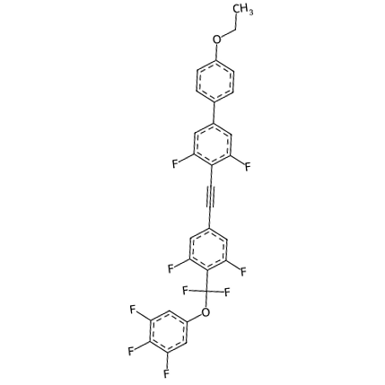 CCOc1ccc(-c2cc(F)c(C#Cc3cc(F)c(C(F)(F)Oc4cc(F)c(F)c(F)c4)c(F)c3)c(F)c2)cc1